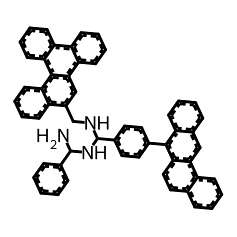 NC(NC(NCc1cc2c3ccccc3c3ccccc3c2c2ccccc12)c1ccc(-c2c3ccccc3cc3c2ccc2ccccc23)cc1)c1ccccc1